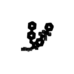 CCCCCCCc1nc2ccc(C(=O)NS(=O)(=O)c3ccccc3)cc2n1Cc1ccc(-c2ccccc2)cc1